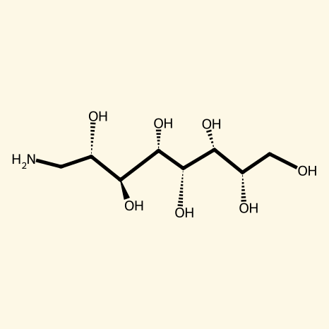 NC[C@H](O)[C@H](O)[C@H](O)[C@@H](O)[C@H](O)[C@@H](O)CO